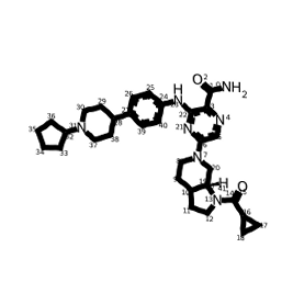 NC(=O)c1ncc(N2CCC3CCN(C(=O)C4CC4)[C@H]3C2)nc1Nc1ccc(C2CCN(C3CCCC3)CC2)cc1